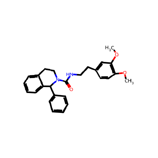 COc1ccc(CCNC(=O)N2CCc3ccccc3C2c2ccccc2)cc1OC